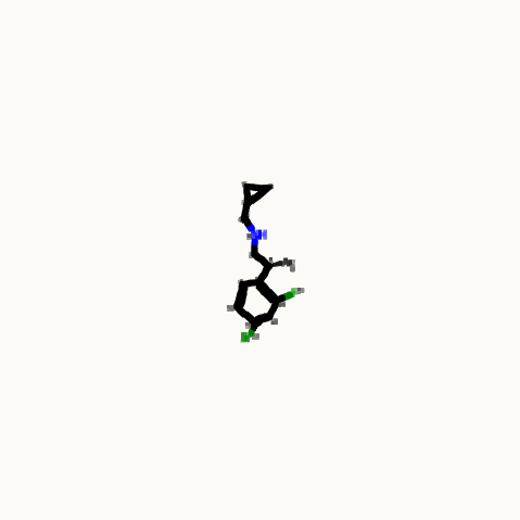 CC(=O)[C@H](CNCC1CC1)c1ccc(Br)cc1F